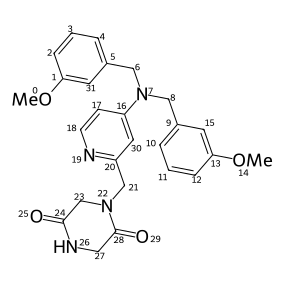 COc1cccc(CN(Cc2cccc(OC)c2)c2ccnc(CN3CC(=O)NCC3=O)c2)c1